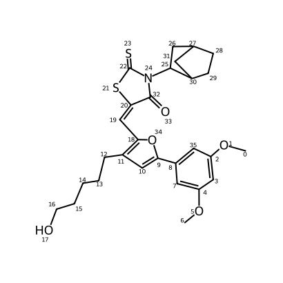 COc1cc(OC)cc(-c2cc(CCCCCO)c(/C=C3/SC(=S)N(C4CC5CCC4C5)C3=O)o2)c1